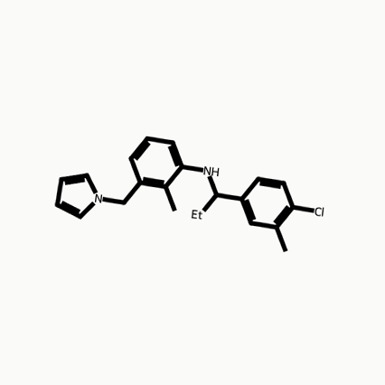 CCC(Nc1cccc(Cn2cccc2)c1C)c1ccc(Cl)c(C)c1